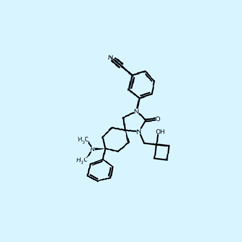 CN(C)[C@]1(c2ccccc2)CC[C@@]2(CC1)CN(c1cccc(C#N)c1)C(=O)N2CC1(O)CCC1